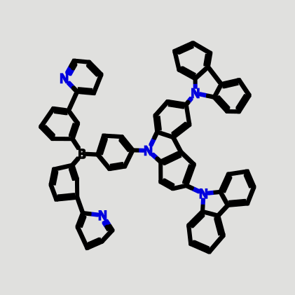 c1ccc(-c2cccc(B(c3ccc(-n4c5ccc(-n6c7ccccc7c7ccccc76)cc5c5cc(-n6c7ccccc7c7ccccc76)ccc54)cc3)c3cccc(-c4ccccn4)c3)c2)nc1